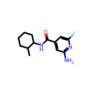 CC1CCCCC1NC(=O)c1cc(N)nc(F)c1